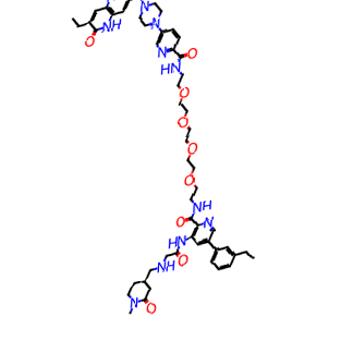 CCc1cccc(-c2cnc(C(=O)NCCOCCOCCOCCOCCNC(=O)c3ccc(N4CCN(Cc5cnc6cc(CC)c(=O)[nH]c6c5)CC4)cn3)c(NC(=O)CNCC3CCN(C)C(=O)C3)c2)c1